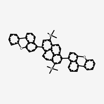 C[Si](C)(C)c1cc(-c2ccc3c4c(cccc24)-c2ccccc2O3)c2ccc3c([Si](C)(C)C)cc(-c4ccc5c6c(cccc46)-c4ccccc4O5)c4ccc1c2c43